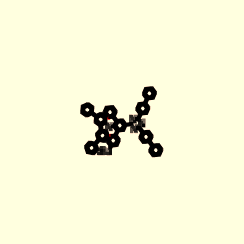 CC(C)(C)c1ccc(-c2cc(-c3nc(-c4ccc(-c5ccccc5)cc4)nc(-c4ccc(-c5ccccc5)cc4)n3)cc(-c3ccccc3)c2-n2c3ccc(-c4ccccc4)cc3c3cc(-c4ccccc4)ccc32)cc1